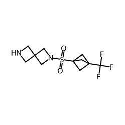 O=S(=O)(N1CC2(CNC2)C1)C12CC(C(F)(F)F)(C1)C2